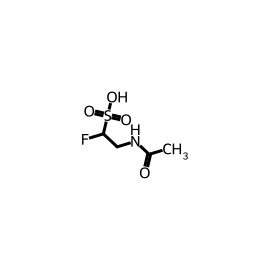 CC(=O)NCC(F)S(=O)(=O)O